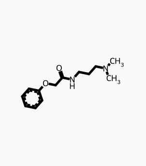 CN(C)CCCNC(=O)COc1ccccc1